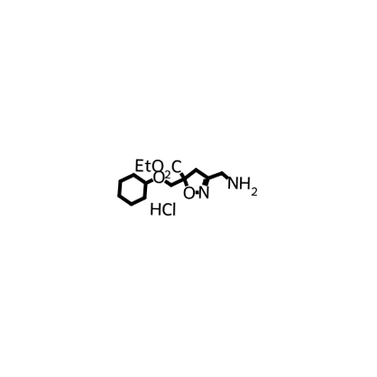 CCOC(=O)C1(COC2CCCCC2)CC(CN)=NO1.Cl